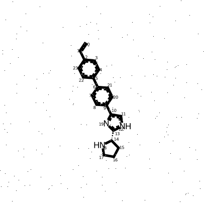 C=Cc1ccc(-c2ccc(-c3c[nH]c([C@@H]4CCCN4)n3)cc2)cc1